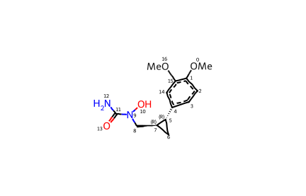 COc1ccc([C@@H]2C[C@H]2CN(O)C(N)=O)cc1OC